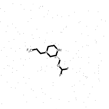 FC(F)OC[C@@H]1CN(CCC(F)(F)F)CCN1